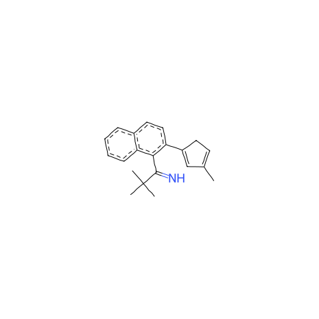 CC1=CCC(c2ccc3ccccc3c2C(=N)C(C)(C)C)=C1